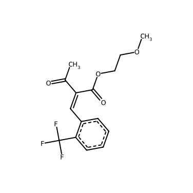 COCCOC(=O)C(=Cc1ccccc1C(F)(F)F)C(C)=O